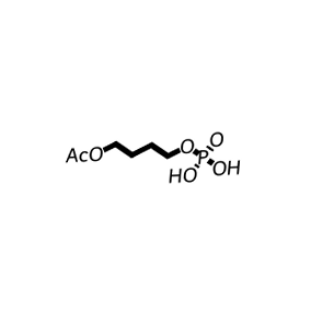 CC(=O)OCCCCOP(=O)(O)O